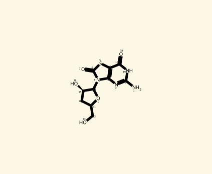 Nc1nc2c(sc(=O)n2C2OC(CO)C[C@H]2O)c(=O)[nH]1